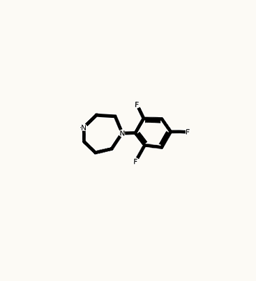 Fc1cc(F)c(N2CCC[N]CC2)c(F)c1